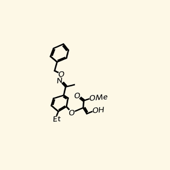 CCc1ccc(C(C)=NOCc2ccccc2)cc1OC(=CO)C(=O)OC